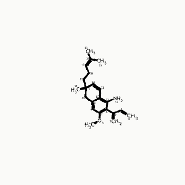 C=CC(=C)c1c(OC)cc2c(c1N)C=CC(C)(CCC=C(C)C)C2